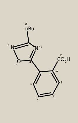 CCCCc1noc(-c2ccccc2C(=O)O)n1